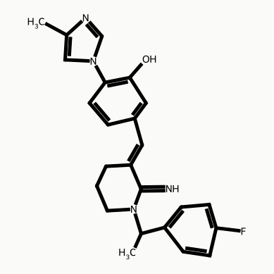 Cc1cn(-c2ccc(/C=C3\CCCN(C(C)c4ccc(F)cc4)C3=N)cc2O)cn1